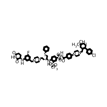 CC1(C)CCC(c2ccc(Cl)cc2)=C(CN2CCN(c3ccc(C(=O)NS(=O)(=O)c4ccc(N[C@H](CCN5CCN(Cc6cc(F)cc(NC7CCC(=O)NC7=O)c6)CC5)CSc5ccccc5)c(S(=O)(=O)C(F)(F)F)c4)cc3)CC2)C1